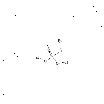 CC[O][V](=[O])([O]CC)[O]CC